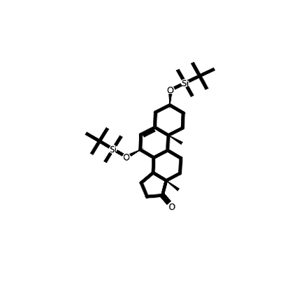 CC(C)(C)[Si](C)(C)O[C@H]1CC[C@@]2(C)C(=C[C@H](O[Si](C)(C)C(C)(C)C)C3C2CC[C@]2(C)C(=O)CCC32)C1